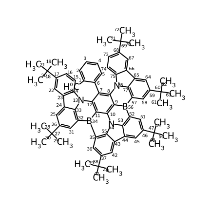 Cc1ccccc1-c1c2c3c4c5c1-n1c6ccc(C(C)(C)C)cc6c6cc(C(C)(C)C)cc(c61)B5c1cc(C(C)(C)C)cc5c6cc(C(C)(C)C)cc(c6n-4c15)B3c1cc(C(C)(C)C)cc3c4cc(C(C)(C)C)ccc4n-2c13